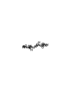 Cc1cccc(C(=O)NC2CC(n3cnc4c(NCc5cccc(N6CCN(C(=O)CNc7ccc8c(c7)C(=O)N([C@H]7CCC(=O)NC7=O)C8=O)CC6)c5)ncnc43)C2)n1